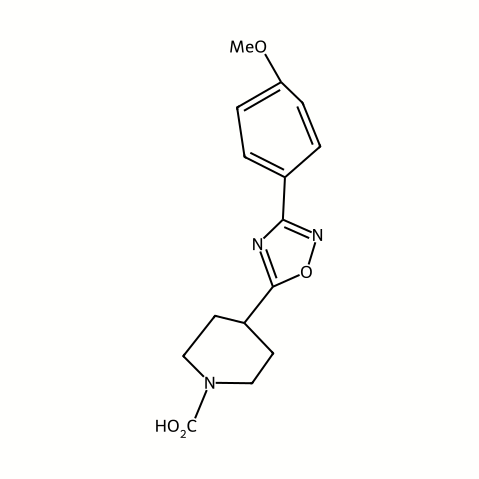 COc1ccc(-c2noc(C3CCN(C(=O)O)CC3)n2)cc1